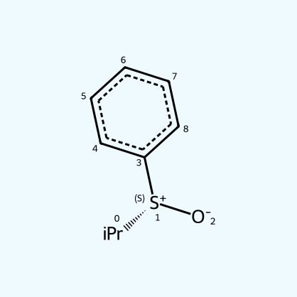 CC(C)[S@@+]([O-])c1ccccc1